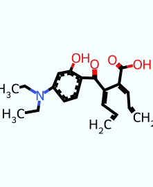 C=C/C=C(C(=O)O)\C(=C/C=C)C(=O)c1ccc(N(CC)CC)cc1O